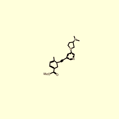 COC(=O)C1=CC=C(C)C(C#Cc2cncc(N3CCC(N(C)C)C3)c2)C1